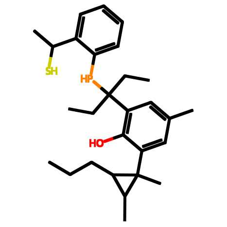 CCCC1C(C)C1(C)c1cc(C)cc(C(CC)(CC)Pc2ccccc2C(C)S)c1O